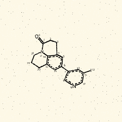 O=C1CCc2cc(-c3cncc(I)c3)cc3c2N1CCC3